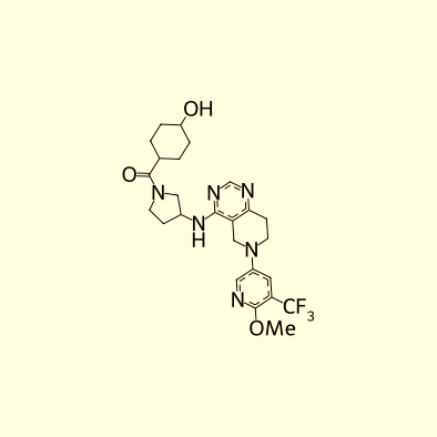 COc1ncc(N2CCc3ncnc(NC4CCN(C(=O)C5CCC(O)CC5)C4)c3C2)cc1C(F)(F)F